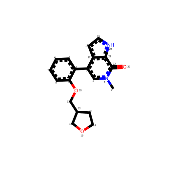 Cn1cc(-c2ccccc2OCC2CCOC2)c2cc[nH]c2c1=O